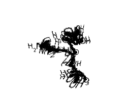 COC(=O)C(CCCCNC(=O)[C@H](CCCONCCCC[C@H](C(=O)O)N1CCN(CC=O)CC(C)(N(CC(=O)O)CC(=O)O)C1)NCOCCOCNCCCC[C@H](N)C(N)=O)N1CCN(CC(=O)O)CC(C)(N(CC(=O)O)CC(=O)O)C1